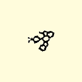 CC1=C(C(C2=C(C)Cc3ccccc32)C2C=CC(=[N+](C)C)C=C2)c2ccccc2C1